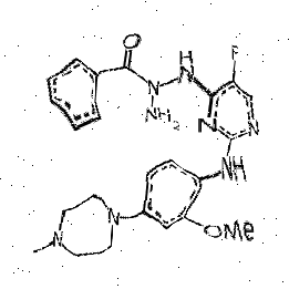 COc1cc(N2CCN(C)CC2)ccc1Nc1ncc(F)c(NN(N)C(=O)c2ccccc2)n1